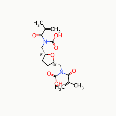 C=C(C)C(=O)N(C[C@H]1CC[C@@H](CN(C(=O)O)C(=O)C(=C)C)O1)C(=O)O